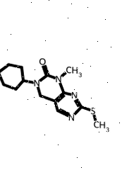 CSc1ncc2c(n1)N(C)C(=O)N(C1CCCCC1)C2